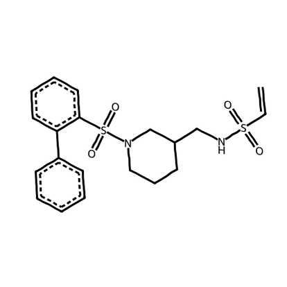 C=CS(=O)(=O)NCC1CCCN(S(=O)(=O)c2ccccc2-c2ccccc2)C1